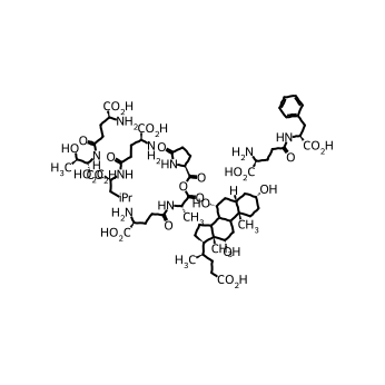 CC(C)C[C@H](NC(=O)CC[C@H](N)C(=O)O)C(=O)O.C[C@@H](O)[C@H](NC(=O)CC[C@H](N)C(=O)O)C(=O)O.C[C@H](CCC(=O)O)[C@H]1CCC2C3C(C[C@H](O)[C@@]21C)[C@@]1(C)CC[C@@H](O)C[C@H]1C[C@H]3O.C[C@H](NC(=O)CC[C@H](N)C(=O)O)C(=O)OC(=O)[C@@H]1CCC(=O)N1.N[C@@H](CCC(=O)N[C@@H](Cc1ccccc1)C(=O)O)C(=O)O